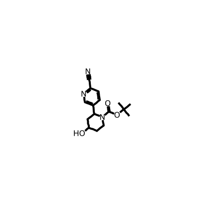 CC(C)(C)OC(=O)N1CCC(O)CC1c1ccc(C#N)nc1